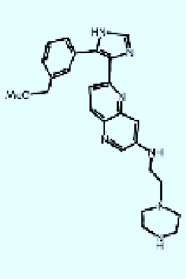 COCc1cccc(-c2[nH]cnc2-c2ccc3ncc(NCCN4CCNCC4)cc3n2)c1